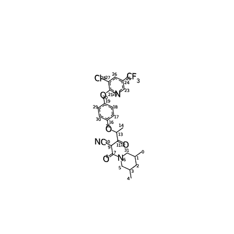 CC1CC(C)CN(C(=O)C(C#N)C(=O)C(C)Oc2ccc(Oc3ncc(C(F)(F)F)cc3Cl)cc2)C1